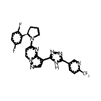 Fc1ccc(F)c([C@H]2CCCN2c2ccn3ncc(-c4nnc(-c5ccc(C(F)(F)F)nc5)[nH]4)c3n2)c1